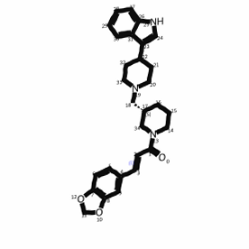 O=C(/C=C/c1ccc2c(c1)OCO2)N1CCC[C@@H](CN2CCC(c3c[nH]c4ccccc34)CC2)C1